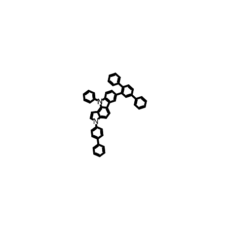 c1ccc(-c2ccc(-n3ccc4c3ccc3c5cc(-c6cc(-c7ccccc7)ccc6-c6ccccc6)ccc5n(-c5ccccc5)c34)cc2)cc1